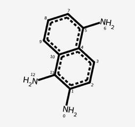 Nc1ccc2c(N)cccc2c1N